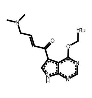 CN(C)C/C=C/C(=O)c1c[nH]c2ncnc(OCC(C)(C)C)c12